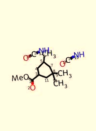 COC(=O)C1CC(C)CC(C)(C)C1.N=C=O.N=C=O